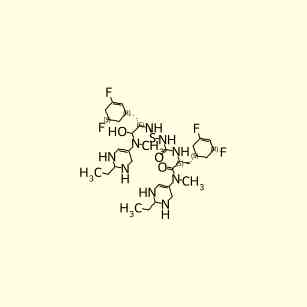 CCC1NC=C(N(C)C(=O)[C@H](C[C@@H]2CC(F)=C[C@H](F)C2)NC(=O)NSN[C@@H](C[C@H]2C=C(F)C[C@@H](F)C2)C(O)N(C)C2=CNC(CC)NC2)CN1